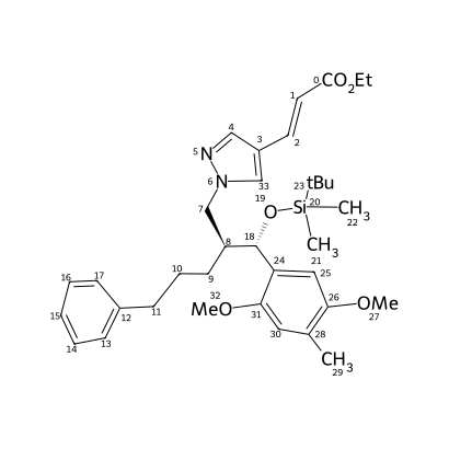 CCOC(=O)/C=C/c1cnn(C[C@H](CCCc2ccccc2)[C@H](O[Si](C)(C)C(C)(C)C)c2cc(OC)c(C)cc2OC)c1